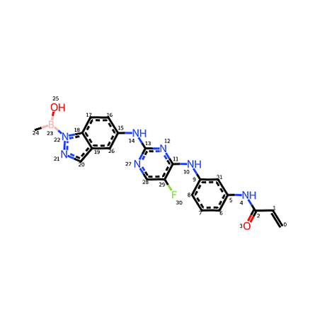 C=CC(=O)Nc1cccc(Nc2nc(Nc3ccc4c(cnn4B(C)O)c3)ncc2F)c1